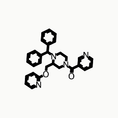 O=C(c1cccnc1)N1CCN(C(c2ccccc2)c2ccccc2)C(COc2ccccn2)C1